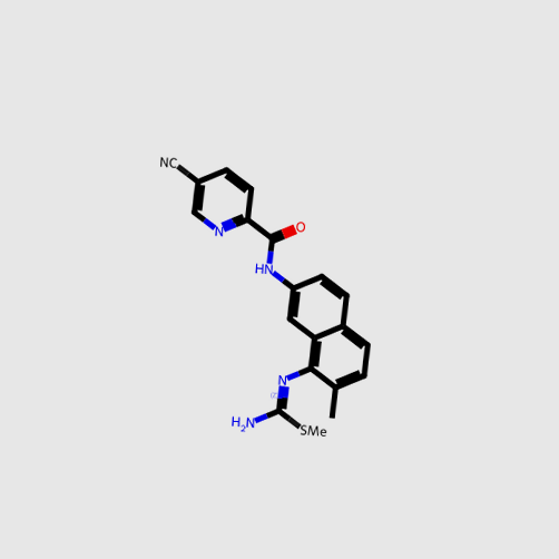 CS/C(N)=N\c1c(C)ccc2ccc(NC(=O)c3ccc(C#N)cn3)cc12